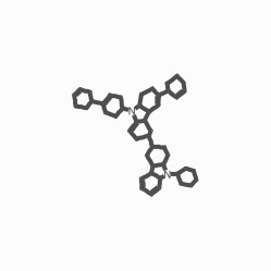 C1=CC2C3CC(C4CC=C5C(C4)C4C=C(C6C=CCCC6)CCC4N5C4CC=C(C5CC=CCC5)CC4)CCC3N(C3CCCCC3)C2C=C1